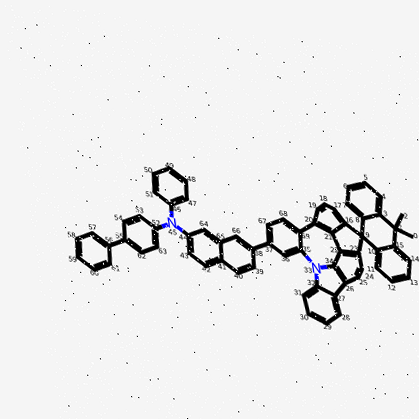 CC1(C)c2ccccc2C2(c3ccccc31)c1cccc3c1-c1c2ccc2c4ccccc4n(c12)-c1cc(-c2ccc4ccc(N(c5ccccc5)c5ccc(-c6ccccc6)cc5)cc4c2)ccc1-3